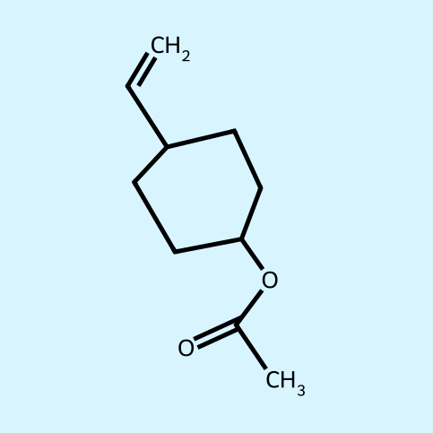 C=CC1CCC(OC(C)=O)CC1